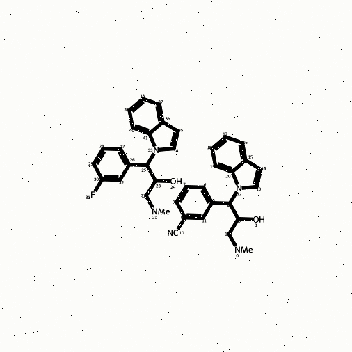 CNCC(O)C(c1cccc(C#N)c1)n1ccc2ccccc21.CNCC(O)C(c1cccc(F)c1)n1ccc2ccccc21